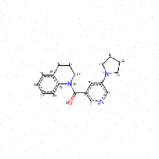 O=C(c1cncc(N2CCCC2)c1)N1CCCc2ccccc21